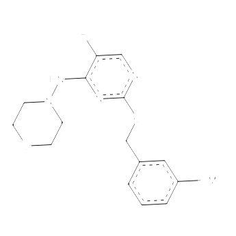 COc1cccc(COc2ncc(F)c(NN3CCOCC3)n2)c1